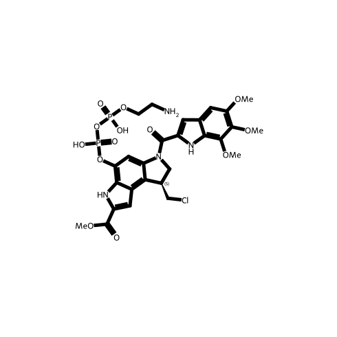 COC(=O)c1cc2c3c(cc(OP(=O)(O)OP(=O)(O)OCCN)c2[nH]1)N(C(=O)c1cc2cc(OC)c(OC)c(OC)c2[nH]1)C[C@H]3CCl